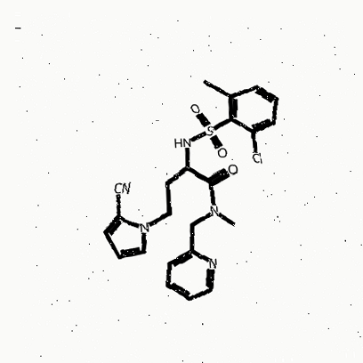 Cc1cccc(Cl)c1S(=O)(=O)NC(CCn1cccc1C#N)C(=O)N(C)Cc1ccccn1